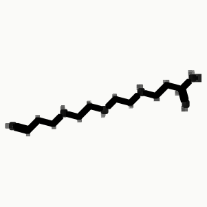 O=CCCOCCOCCOCCC(=O)O